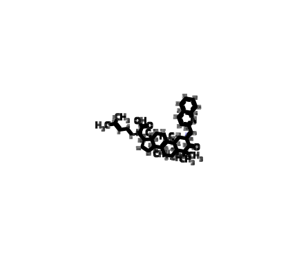 CC(C)=CCC[C@H](C(=O)O)[C@@H]1CC[C@]2(C)C3=C(CC[C@@]12C)[C@@]1(C)C/C(=C\c2ccc4ccccc4n2)C(=O)C(C)(C)[C@@H]1CC3